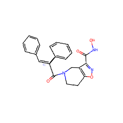 O=C(NO)c1noc2c1CN(C(=O)/C(=C/c1ccccc1)c1ccccc1)CC2